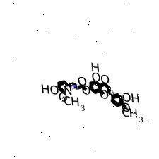 COc1ccc([C@@H]2CC(=O)c3c(O)cc(OC(=O)/C=C/c4ccc(O)c(OC)n4)cc3O2)cc1O